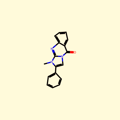 Cn1c(-c2ccccc2)cn2c(=O)c3ccccc3nc12